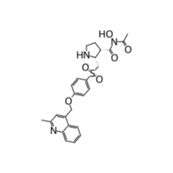 CC(=O)N(O)C(=O)[C@H]1CCN[C@H]1CS(=O)(=O)c1ccc(OCc2cc(C)nc3ccccc23)cc1